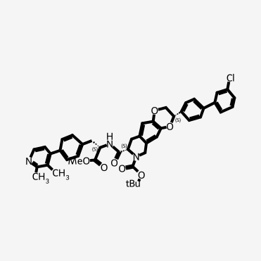 COC(=O)[C@H](Cc1ccc(-c2ccnc(C)c2C)cc1)NC(=O)[C@@H]1Cc2cc3c(cc2CN1C(=O)OC(C)(C)C)O[C@@H](c1ccc(-c2cccc(Cl)c2)cc1)CO3